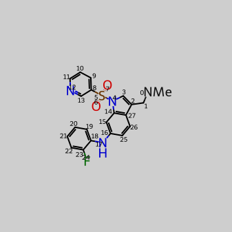 CNCc1cn(S(=O)(=O)c2cccnc2)c2cc(Nc3ccccc3F)ccc12